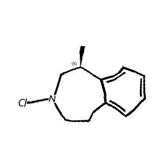 C[C@@H]1CN(Cl)CCc2ccccc21